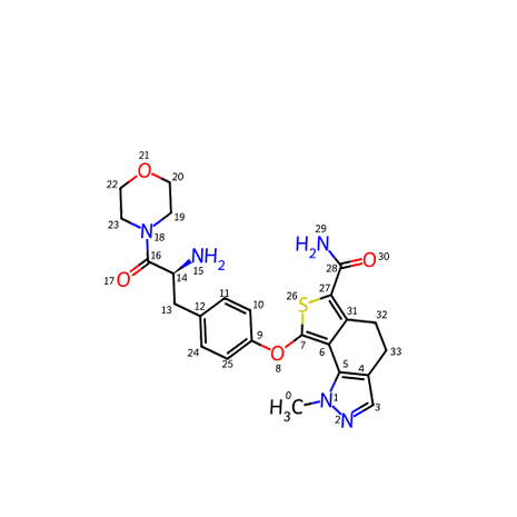 Cn1ncc2c1-c1c(Oc3ccc(C[C@H](N)C(=O)N4CCOCC4)cc3)sc(C(N)=O)c1CC2